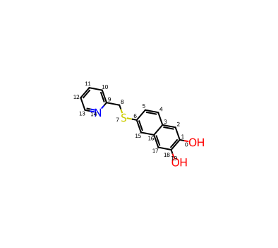 Oc1cc2ccc(SCc3ccccn3)cc2cc1O